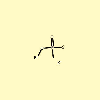 CCOP(C)(=O)[S-].[K+]